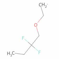 [CH2]COCC(F)(F)CC